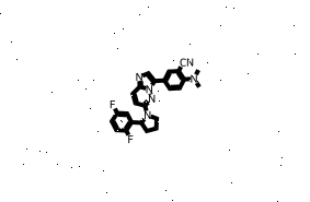 CN(C)c1ccc(-c2cnc3ccc(N4CCCC4c4cc(F)ccc4F)nn23)cc1C#N